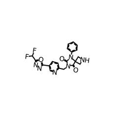 O=C1N(Cc2ccc(-c3nnc(C(F)F)o3)cn2)C(=O)C2(CNC2)N1c1ccccc1